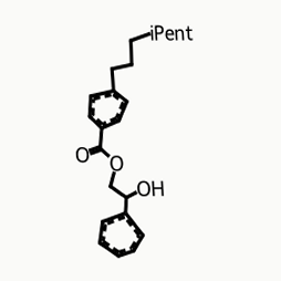 CCCC(C)CCCc1ccc(C(=O)OCC(O)c2ccccc2)cc1